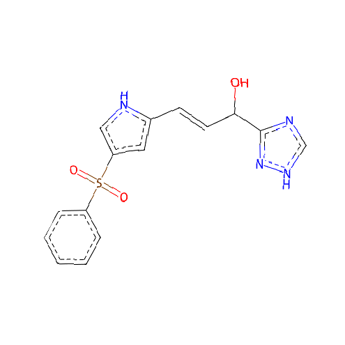 O=S(=O)(c1ccccc1)c1c[nH]c(C=CC(O)c2nc[nH]n2)c1